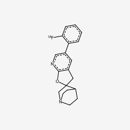 [18F]c1ccccc1-c1cnc2c(c1)CC1(CN3CCC1CC3)O2